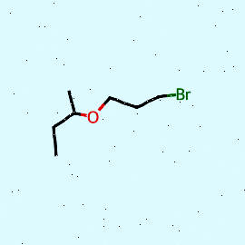 CCC(C)OCCCBr